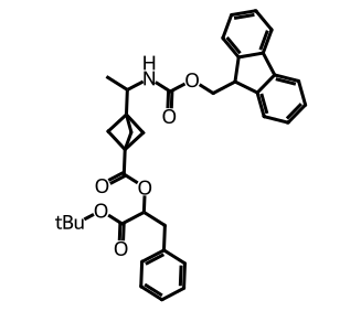 CC(NC(=O)OCC1c2ccccc2-c2ccccc21)C12CC(C(=O)OC(Cc3ccccc3)C(=O)OC(C)(C)C)(C1)C2